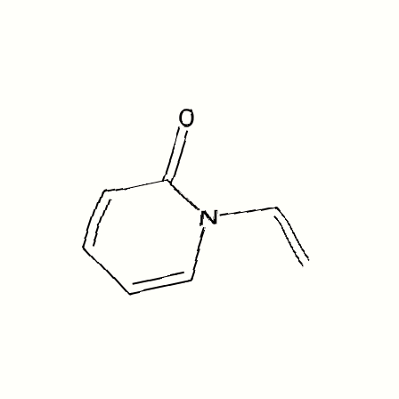 C=Cn1ccccc1=O